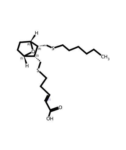 CCCCCCSC[C@@H]1[C@H](CSCC/C=C/C(=O)O)[C@@H]2CC[C@H]1O2